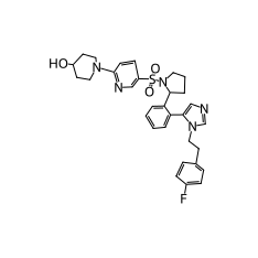 O=S(=O)(c1ccc(N2CCC(O)CC2)nc1)N1CCCC1c1ccccc1-c1cncn1CCc1ccc(F)cc1